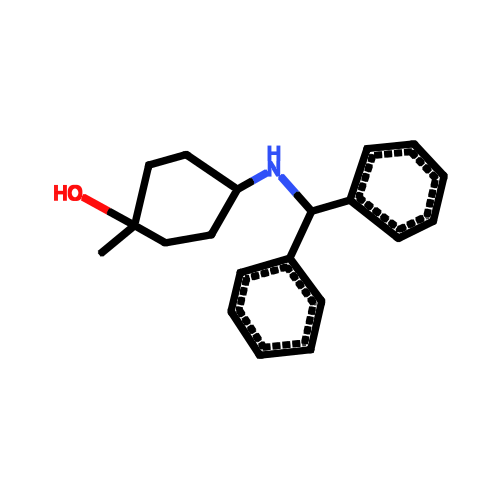 CC1(O)CCC(NC(c2ccccc2)c2ccccc2)CC1